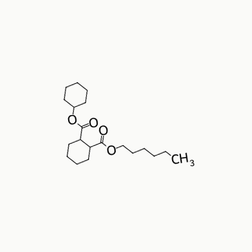 CCCCCCOC(=O)C1CCCCC1C(=O)OC1CCCCC1